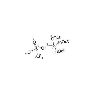 CCCCCCCC[N+](C)(CCCCCCCC)CCCCCCCC.O=S(=O)([O-])C(F)(F)F